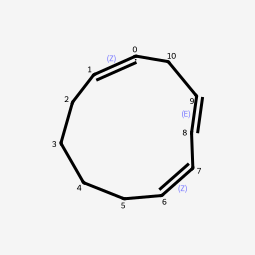 [C]1=C\CCCC/C=C\C=C\C/1